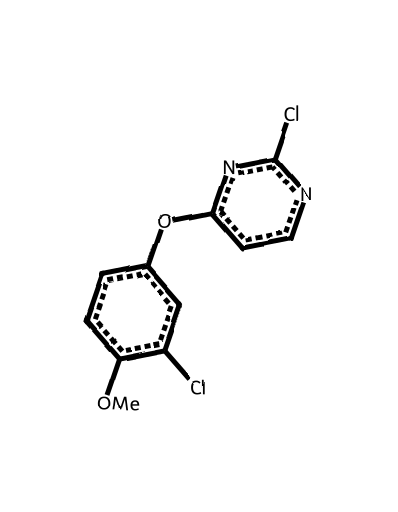 COc1ccc(Oc2ccnc(Cl)n2)cc1Cl